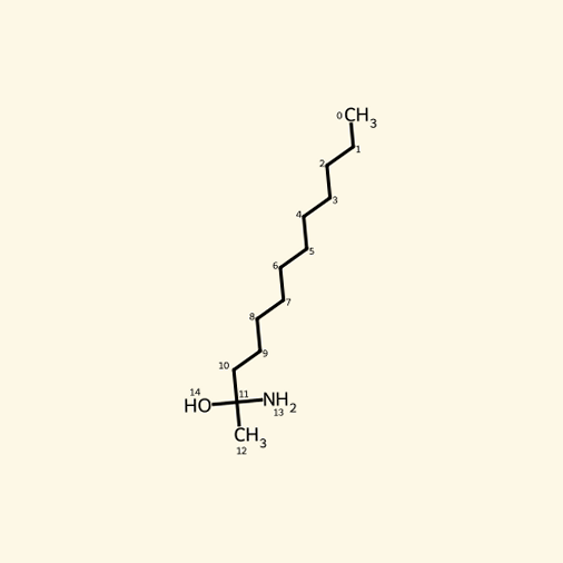 CCCCCCCCCCCC(C)(N)O